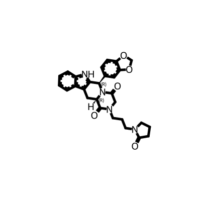 O=C1CCCN1CCCN1CC(=O)N2[C@H](c3ccc4c(c3)OCO4)c3[nH]c4ccccc4c3C[C@@H]2C1=O